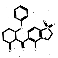 O=C1CCCC(Sc2ccccc2)C1C(=O)c1ccc2c(c1Cl)CCS2(=O)=O